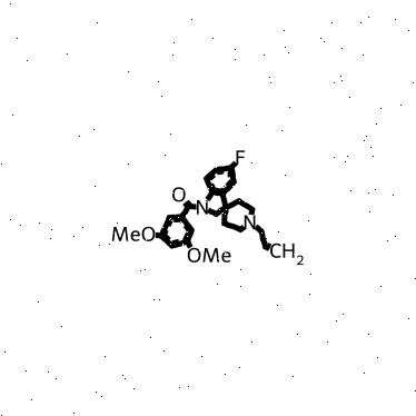 C=CCN1CCC2(CC1)CN(C(=O)c1cc(OC)cc(OC)c1)c1ccc(F)cc12